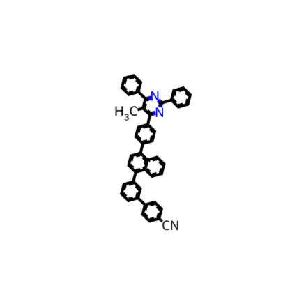 Cc1c(-c2ccccc2)nc(-c2ccccc2)nc1-c1ccc(-c2ccc(-c3cccc(-c4ccc(C#N)cc4)c3)c3ccccc23)cc1